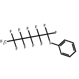 FC(F)(F)C(F)(F)C(F)(F)C(F)(F)C(F)(F)C(F)(F)Sc1ccccc1